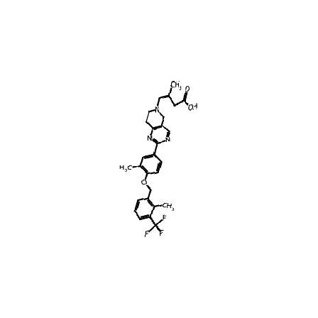 Cc1cc(-c2ncc3c(n2)CCN(CC(C)CC(=O)O)C3)ccc1OCc1cccc(C(F)(F)F)c1C